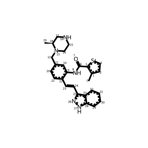 Cc1ccsc1C(=O)Nc1cc(CN2CCNC[C@@H]2C)ccc1C=Cc1n[nH]c2ccccc12